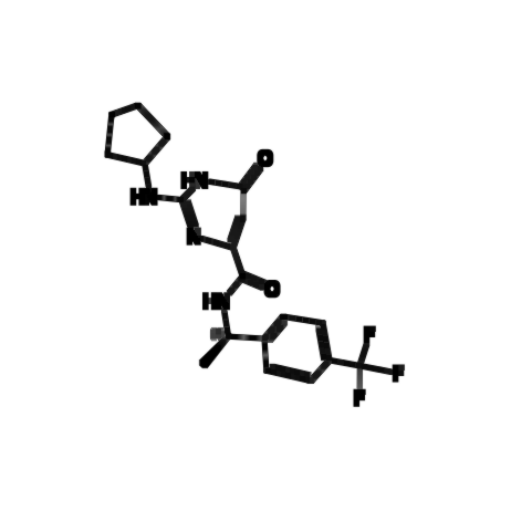 C[C@@H](NC(=O)c1cc(=O)[nH]c(NC2CCCC2)n1)c1ccc(C(F)(F)F)cc1